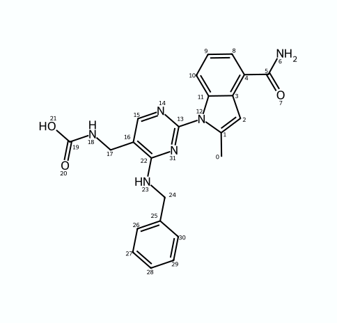 Cc1cc2c(C(N)=O)cccc2n1-c1ncc(CNC(=O)O)c(NCc2ccccc2)n1